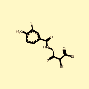 CCC(=O)C(CC)C(=O)ONC(=O)c1ccc(C)c(F)c1